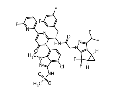 Cn1nc(NS(C)(=O)=O)c2c(Cl)ccc(-n3c([C@H](Cc4cc(F)cc(F)c4)NC(=O)Cn4nc(C(F)F)c5c4C(F)(F)[C@@H]4C[C@H]54)nc(-c4cccc(F)n4)cc3=O)c21